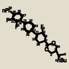 CCCCC(C)C1COC(C2C=C(F)C(c3ccc(-c4ccc(CCC)c(F)c4F)cc3)=CC2)OC1